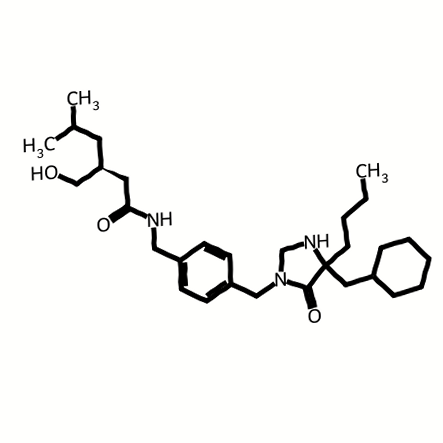 CCCCC1(CC2CCCCC2)NCN(Cc2ccc(CNC(=O)C[C@@H](CO)CC(C)C)cc2)C1=O